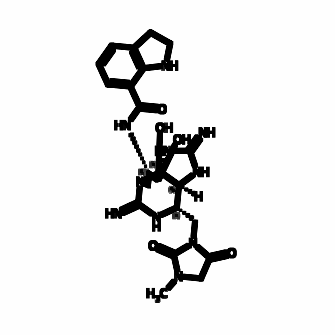 CN1CC(=O)N(C[C@@H]2NC(=N)N3C[C@H](NC(=O)c4cccc5c4NCC5)C(O)(O)[C@@]34NC(=N)N[C@@H]24)C1=O